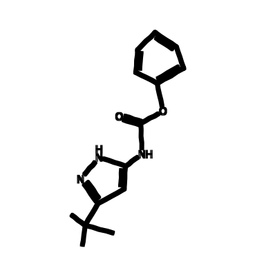 CC(C)(C)c1cc(NC(=O)Oc2ccccc2)[nH]n1